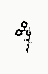 CCCCNC(=O)O[C@H]1CN[C@@H](C(c2ccccc2)c2ccccc2)C1